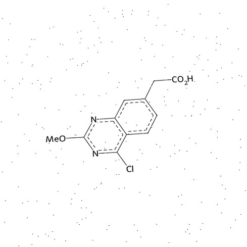 COc1nc(Cl)c2ccc(CC(=O)O)cc2n1